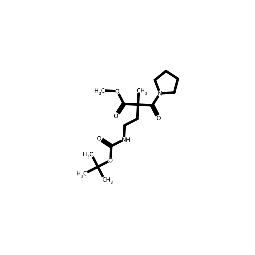 COC(=O)C(C)(CCNC(=O)OC(C)(C)C)C(=O)N1CCCC1